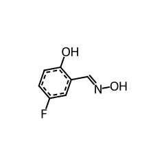 O/N=C/c1cc(F)ccc1O